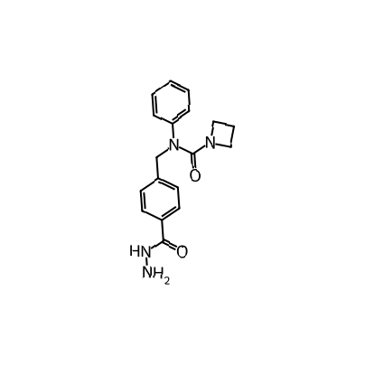 NNC(=O)c1ccc(CN(C(=O)N2CCC2)c2ccccc2)cc1